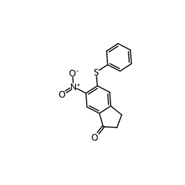 O=C1CCc2cc(Sc3ccccc3)c([N+](=O)[O-])cc21